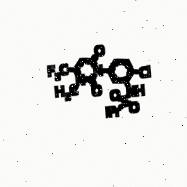 CC(C)S(=O)(=O)Nc1cc(-n2c(=O)cc(C(F)(F)F)n(C)c2=O)ccc1Cl